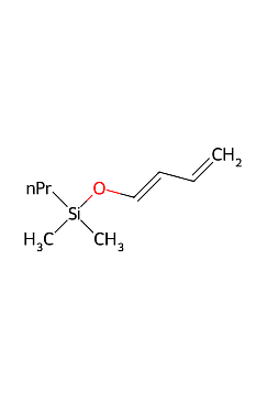 C=CC=CO[Si](C)(C)CCC